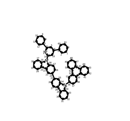 c1ccc(-c2cc(-c3ccccc3)nc(-n3c4ccccc4c4cc(-c5ccc6c7ccccc7n(-c7ccc8c9ccccc9c9ccccc9c8c7)c6c5)ccc43)c2)cc1